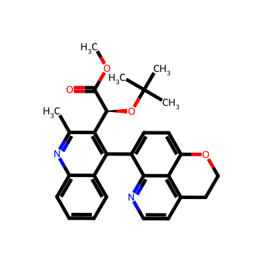 COC(=O)[C@@H](OC(C)(C)C)c1c(C)nc2ccccc2c1-c1ccc2c3c(ccnc13)CCO2